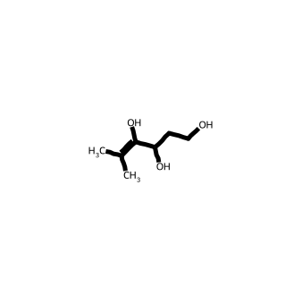 CC(C)=C(O)C(O)CCO